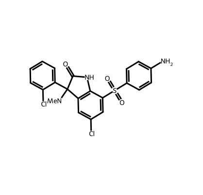 CNC1(c2ccccc2Cl)C(=O)Nc2c1cc(Cl)cc2S(=O)(=O)c1ccc(N)cc1